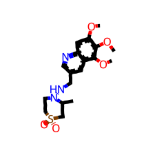 COc1cc2ncc(CNN3CCS(=O)(=O)CC3C)cc2c(OC)c1OC